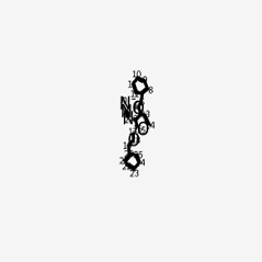 [N-]=[N+]=NC1C(OCc2ccccc2)C=CO[C@@H]1COCc1ccccc1